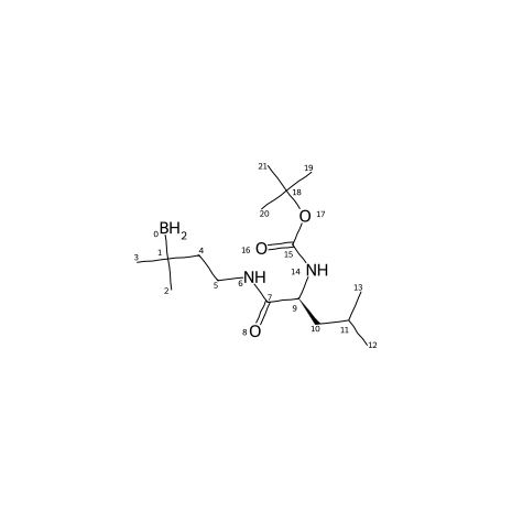 BC(C)(C)CCNC(=O)[C@H](CC(C)C)NC(=O)OC(C)(C)C